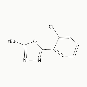 CC(C)(C)c1nnc(-c2ccccc2Cl)o1